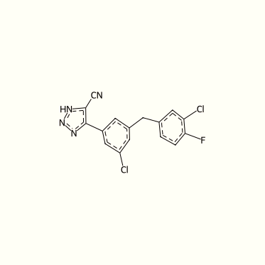 N#Cc1[nH]nnc1-c1cc(Cl)cc(Cc2ccc(F)c(Cl)c2)c1